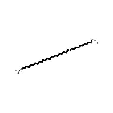 CCCCCCCCCCCCCCCCCCCCCCCCSCCCCCCCCCCC